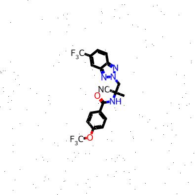 CC(C#N)(Cn1nc2ccc(C(F)(F)F)cc2n1)NC(=O)c1ccc(OC(F)(F)F)cc1